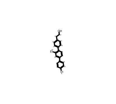 CCc1ccc(-c2ccc(-c3ccc(CCO)cc3)c(CC)c2)cc1